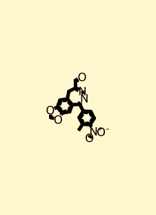 Cc1cc(C2=NN=C(C=O)Cc3cc4c(cc32)OCO4)ccc1[N+](=O)[O-]